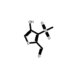 CS(=O)(=O)c1c(O)coc1C=O